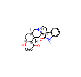 COC(=O)[C@@H]1[C@H]2C[C@@H]3N(CC[C@@]34C(=O)N(C)c3ccccc34)C[C@@H]2CC[C@@H]1O